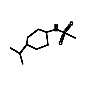 CC(C)C1CCC(NS(C)(=O)=O)CC1